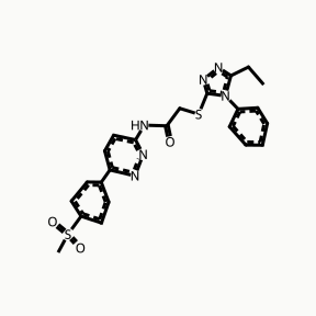 CCc1nnc(SCC(=O)Nc2ccc(-c3ccc(S(C)(=O)=O)cc3)nn2)n1-c1ccccc1